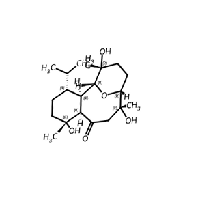 CC(C)[C@H]1CC[C@@](C)(O)[C@@H]2C(=O)C[C@@](C)(O)[C@H]3CC[C@@](C)(O)[C@H](O3)[C@H]12